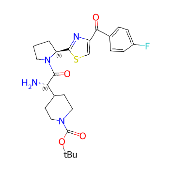 CC(C)(C)OC(=O)N1CCC([C@H](N)C(=O)N2CCC[C@H]2c2nc(C(=O)c3ccc(F)cc3)cs2)CC1